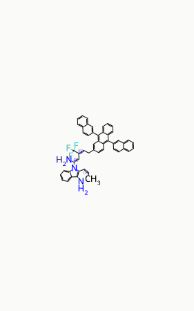 C/C=C\c1c(N)c2ccccc2n1/C(N)=C/C(=C\Cc1ccc2c(-c3ccc4ccccc4c3)c3ccccc3c(-c3ccc4ccccc4c3)c2c1)C(F)(F)F